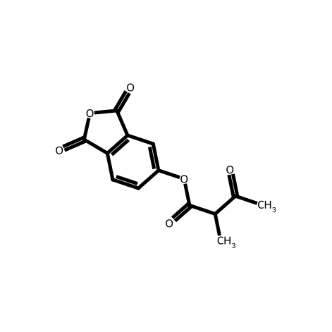 CC(=O)C(C)C(=O)Oc1ccc2c(c1)C(=O)OC2=O